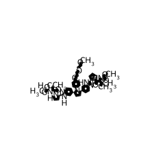 COCCOCCOc1ccc(N2[C@@H](c3ccc4nc([C@@H]5CCCN5C(=O)C(NC(=O)OC)C(C)C)[nH]c4c3)CC[C@@H]2c2ccc3nc([C@@H]4CCCN4C(=O)[C@@H](NC(=O)OC)C(C)C)[nH]c3c2)cc1